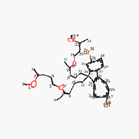 COC(C)CCOC(C)CCCC1(CCCC(C)OCCC(C)OC)c2cc(Br)ccc2-c2ccc(Br)cc21